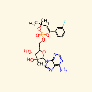 CC1(C)C=C(c2cccc(F)c2)OP(=O)(OC[C@H]2O[C@@H](n3cnc4c(N)ncnc43)[C@](C)(O)[C@@H]2O)O1